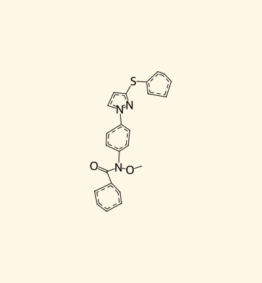 CON(C(=O)c1ccccc1)c1ccc(-n2ccc(Sc3ccccc3)n2)cc1